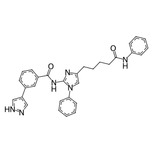 O=C(CCCCc1cn(-c2ccccc2)c(NC(=O)c2cccc(-c3cn[nH]c3)c2)n1)Nc1ccccc1